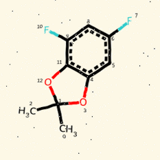 CC1(C)Oc2cc(F)cc(F)c2O1